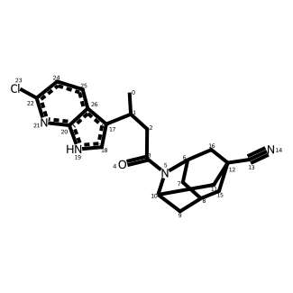 CC(CC(=O)N1C2CC3CC1CC(C#N)(C3)C2)c1c[nH]c2nc(Cl)ccc12